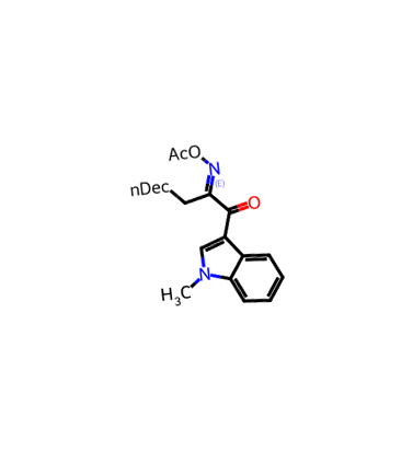 CCCCCCCCCCC/C(=N\OC(C)=O)C(=O)c1cn(C)c2ccccc12